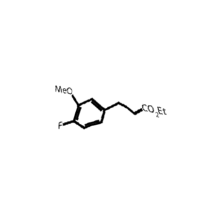 CCOC(=O)CCc1ccc(F)c(OC)c1